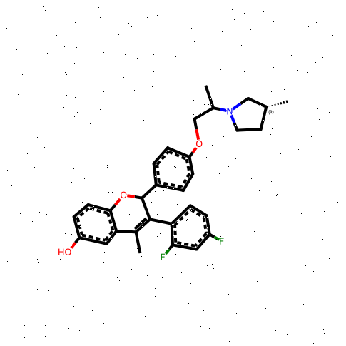 CC1=C(c2ccc(F)cc2F)C(c2ccc(OCC(C)N3CC[C@@H](C)C3)cc2)Oc2ccc(O)cc21